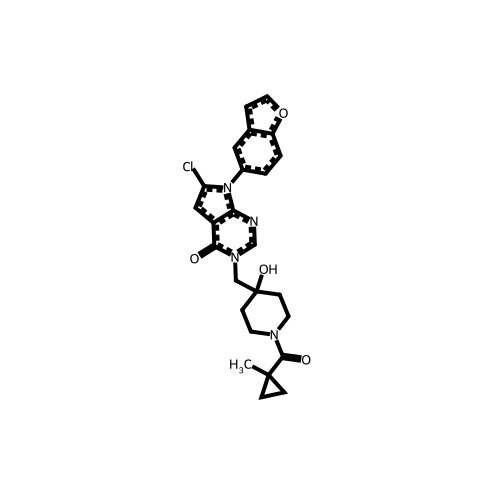 CC1(C(=O)N2CCC(O)(Cn3cnc4c(cc(Cl)n4-c4ccc5occc5c4)c3=O)CC2)CC1